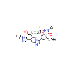 CCOC(=O)C(CO)c1cn2c(-c3cc(OC)c(C(=O)NC4CC4)c(OC(F)F)c3)cnc2cc1-c1cnn(C)c1